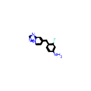 Nc1ccc(Cc2ccn3ncnc3c2)c(F)c1